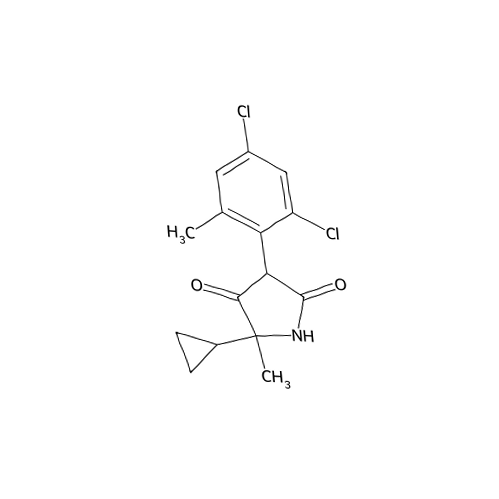 Cc1cc(Cl)cc(Cl)c1C1C(=O)NC(C)(C2CC2)C1=O